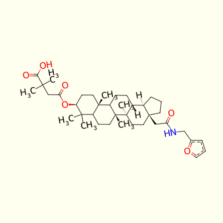 CC(C)(CC(=O)O[C@H]1CC[C@@]2(C)C(CC[C@]3(C)C2CC[C@@H]2[C@H]4CCC[C@]4(CC(=O)NCc4ccco4)CC[C@]23C)C1(C)C)C(=O)O